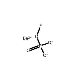 O=P([O-])([O-])OF.[Ba+2]